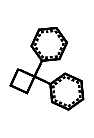 c1ccc(C2(c3ccccc3)CCC2)cc1